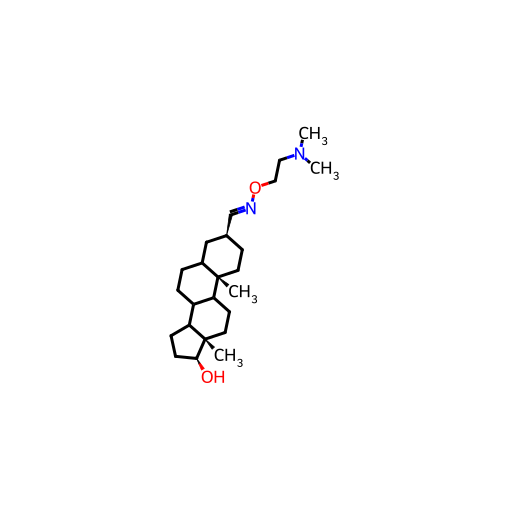 CN(C)CCO/N=C/[C@H]1CC[C@@]2(C)C(CCC3C2CC[C@@]2(C)C3CC[C@@H]2O)C1